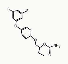 CCC(COc1ccc(Oc2cc(F)cc(F)c2)cc1)OC(N)=O